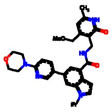 COCc1cc(C)[nH]c(=O)c1CNC(=O)c1cc(-c2ccc(N3CCOCC3)nc2)cc2c1ccn2C(C)C